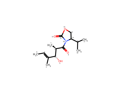 C/C=C(\C)[C@@H](O)[C@@H](C)C(=O)N1C(=O)OCC1C(C)C